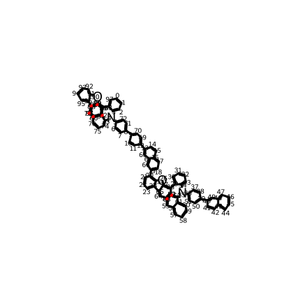 c1ccc(N(c2ccc(-c3ccc(-c4ccc5ccc(-c6cccc7c6oc6c(-c8ccccc8N(c8ccc(-c9ccc%10ccccc%10c9)cc8)c8cccc9ccccc89)cccc67)cc5c4)cc3)cc2)c2cccc3ccccc23)c(-c2cccc3c2oc2ccccc23)c1